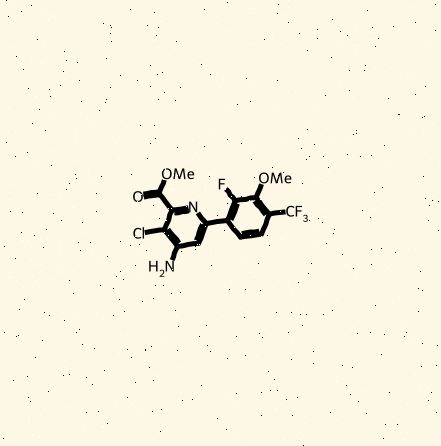 COC(=O)c1nc(-c2ccc(C(F)(F)F)c(OC)c2F)cc(N)c1Cl